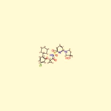 C[C@]1(O)CCN(c2cccc(S(=O)(=O)NC(=O)C3(Oc4cc(Cl)ccc4C4CCCCC4)CC3)n2)C1